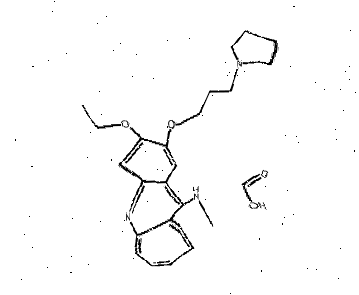 CCOc1cc2nc3ccccc3c(NC)c2cc1OCCCN1CCCC1.O=CO